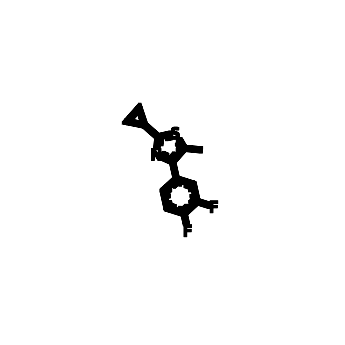 Cc1sc(C2CC2)nc1-c1ccc(F)c(F)c1